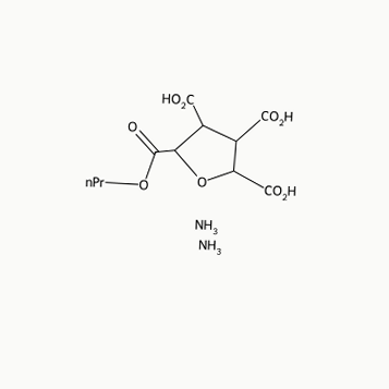 CCCOC(=O)C1OC(C(=O)O)C(C(=O)O)C1C(=O)O.N.N